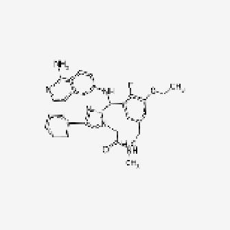 CCOc1cc(CC)cc(C(Nc2ccc3c(N)nccc3c2)c2nc(-c3ccccc3)cn2CC(=O)NC)c1F